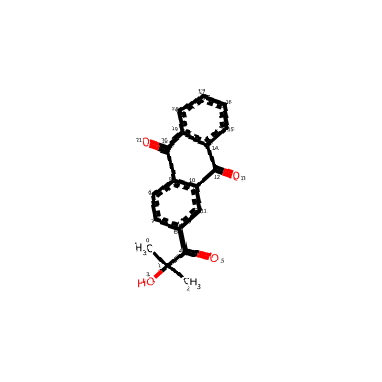 CC(C)(O)C(=O)c1ccc2c(c1)C(=O)c1ccccc1C2=O